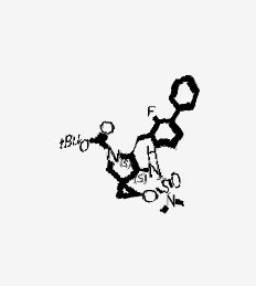 CN(C)S(=O)(=O)N[C@@H]1[C@H](Cc2cccc(-c3ccccc3)c2F)N(C(=O)OC(C)(C)C)CC12CC2